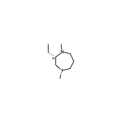 CC[C@H]1CN(C)CCCN1C